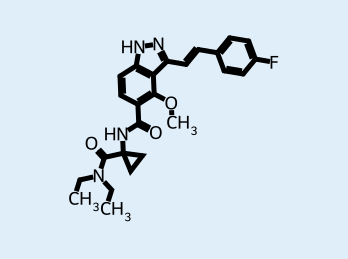 CCN(CC)C(=O)C1(NC(=O)c2ccc3[nH]nc(/C=C/c4ccc(F)cc4)c3c2OC)CC1